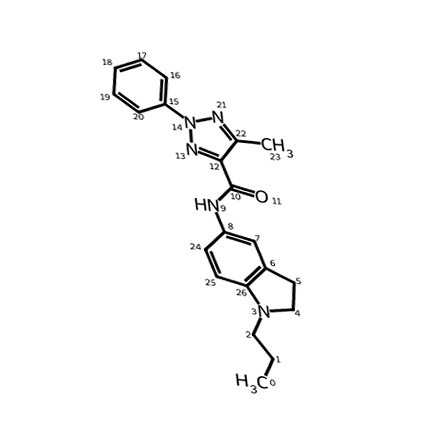 CCCN1CCc2cc(NC(=O)c3nn(-c4ccccc4)nc3C)ccc21